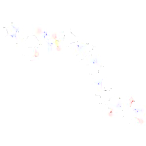 O=C1CC[C@H](N2Cc3cc(N4CC[C@@H](CN5C[C@H]6CN(c7cccc(S(=O)(=O)Nc8noc9cc(Cn%10cccn%10)c%10c(c89)OCC%10)c7)C[C@@H]6C5)C4)ccc3C2=O)C(=O)N1